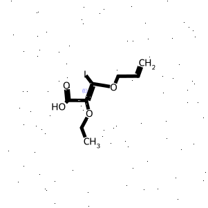 C=CCO/C(I)=C(\OCC)C(=O)O